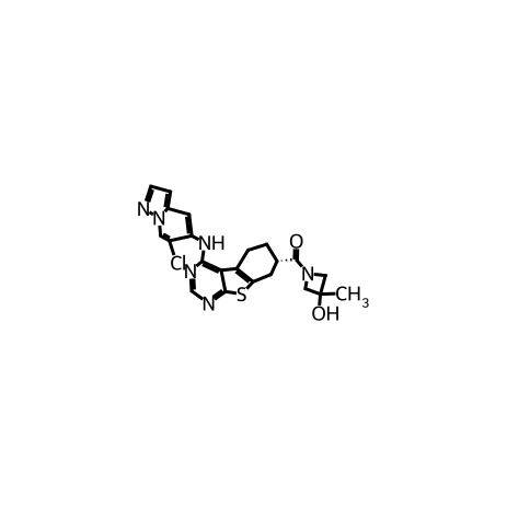 CC1(O)CN(C(=O)[C@H]2CCc3c(sc4ncnc(Nc5cc6ccnn6cc5Cl)c34)C2)C1